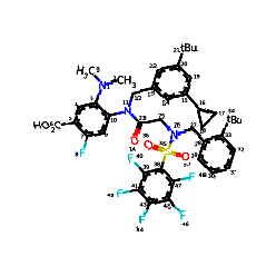 CN(C)c1cc(C(=O)O)c(F)cc1N(Cc1cc(C2CC2)cc(C(C)(C)C)c1)C(=O)CN(Cc1ccccc1C(C)(C)C)S(=O)(=O)c1c(F)c(F)c(F)c(F)c1F